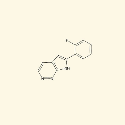 Fc1ccccc1-c1cc2ccnnc2[nH]1